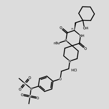 CCCCN1C(=O)[C@@H](CC2(O)CCCCC2)NC(=O)C12CCN(CCOc1ccc(N(S(C)(=O)=O)S(C)(=O)=O)cc1)CC2.Cl